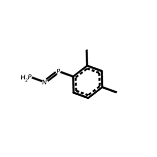 Cc1ccc(P=NP)c(C)c1